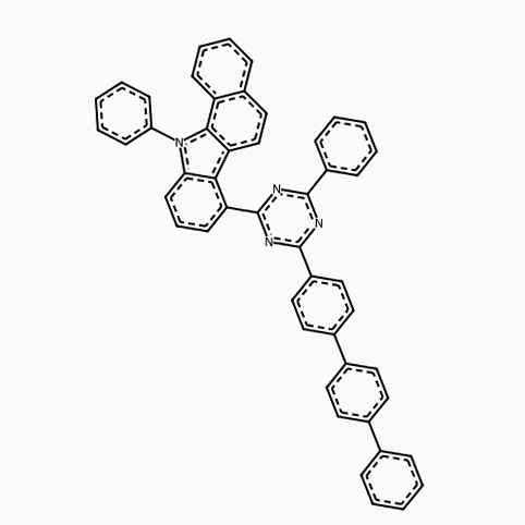 c1ccc(-c2ccc(-c3ccc(-c4nc(-c5ccccc5)nc(-c5cccc6c5c5ccc7ccccc7c5n6-c5ccccc5)n4)cc3)cc2)cc1